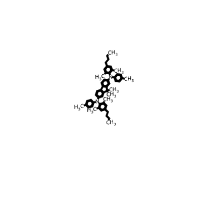 CCCCc1cc(C)c(N(c2ccc(C)cc2)c2ccc3c(c2)C(C)(C)c2cc(N(c4ccc(C)cc4)c4c(C)cc(CCCC)cc4C)ccc2-3)c(C)c1